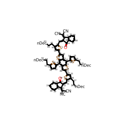 [C-]#[N+]/C(C#N)=C1\C(=Cc2sc(-c3cc4c(-c5ccc(CCCCCCCCCCCC)s5)c5sc(-c6cc(CCCCCCCCCCCC)c(C=C7C(=O)c8ccccc8/C7=C(/C#N)[N+]#[C-])s6)cc5c(-c5ccc(CCCCCCCCCCCC)s5)c4s3)cc2CCCCCCCCCCCC)C(=O)c2ccccc21